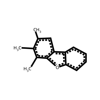 Cc1cc2c(oc3ccccc32)c(C)c1C